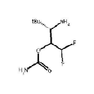 CC(C)(C)[C@H](N)C(OC(N)=O)C(F)F